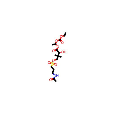 CCOC(=O)OC(C)OC(=O)[C@H](O)C(C)(C)COS(=O)(=O)CCCNC(C)=O